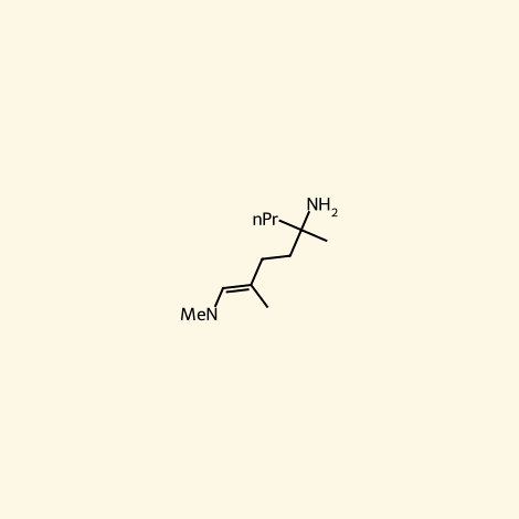 CCCC(C)(N)CC/C(C)=C/NC